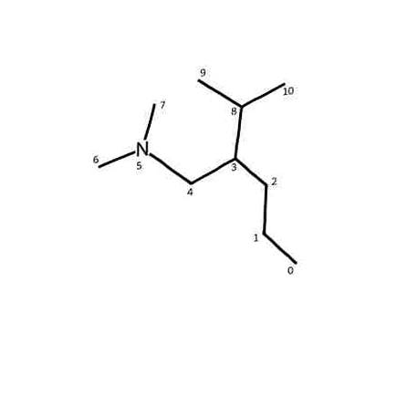 CCCC(CN(C)C)C(C)C